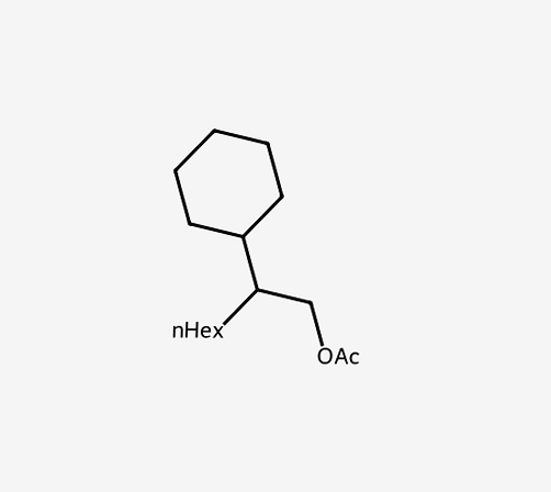 CCCCCCC(COC(C)=O)C1CCCCC1